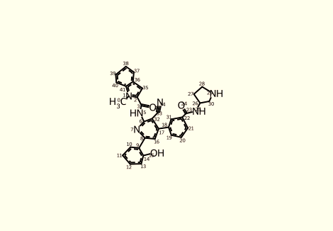 Cn1c(C(=O)Nc2nc(-c3ccccc3O)cc(-c3cccc(C(=O)NC4CCNC4)c3)c2C#N)cc2ccccc21